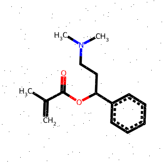 C=C(C)C(=O)OC(CCN(C)C)c1ccccc1